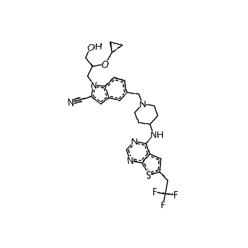 N#Cc1cc2cc(CN3CCC(Nc4ncnc5sc(CC(F)(F)F)cc45)CC3)ccc2n1CC(CO)OC1CC1